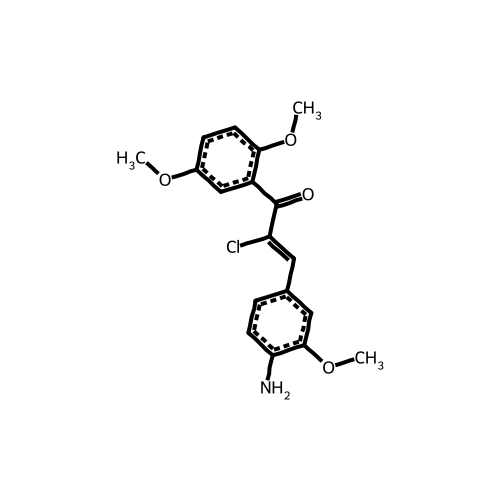 COc1ccc(OC)c(C(=O)C(Cl)=Cc2ccc(N)c(OC)c2)c1